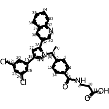 C[C@@H](c1ccc(C(=O)NCCC(=O)O)cc1)n1nc(-c2cc(Cl)cc(Cl)c2)cc1-c1cnc2ccccc2c1